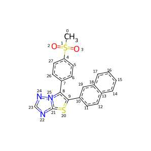 CS(=O)(=O)c1ccc(-c2c(-c3ccc4ccccc4c3)sc3ncnn23)cc1